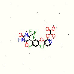 COC(=O)C(OC)Oc1ncccc1Oc1cc(-c2c(C(F)(F)F)n(C)c(=O)[nH]c2=O)c(F)cc1Cl